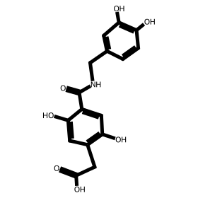 O=C(O)Cc1cc(O)c(C(=O)NCc2ccc(O)c(O)c2)cc1O